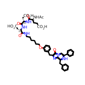 CC(=O)N[C@@H](CCC(=O)O)C(=O)N[C@@H](CC(=O)O)C(=O)N[C@@H](CC(=O)O)C(=O)NCCCCCCOc1cccc(Cc2nc3c(Cc4ccccc4)[nH]c(-c4ccccc4)cn-3c2=O)c1